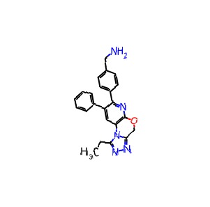 CCc1nnc2n1-c1cc(-c3ccccc3)c(-c3ccc(CN)cc3)nc1OC2